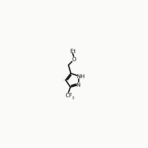 CCOCc1[c]c(C(F)(F)F)n[nH]1